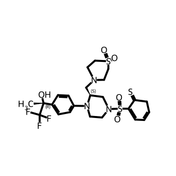 C[C@@](O)(c1ccc(N2CCN(S(=O)(=O)C3=CC=CCC3=S)C[C@@H]2CN2CCS(=O)(=O)CC2)cc1)C(F)(F)F